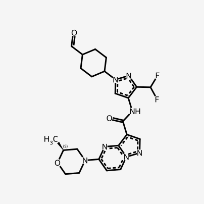 C[C@H]1CN(c2ccn3ncc(C(=O)Nc4cn(C5CCC(C=O)CC5)nc4C(F)F)c3n2)CCO1